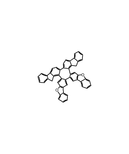 c1ccc2c(c1)Cc1c-2ccc2c1-c1cc3oc4ccccc4c3cc1-c1cc3c(cc1-c1c-2ccc2c1Cc1ccccc1-2)oc1ccccc13